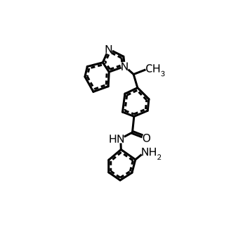 CC(c1ccc(C(=O)Nc2ccccc2N)cc1)n1cnc2ccccc21